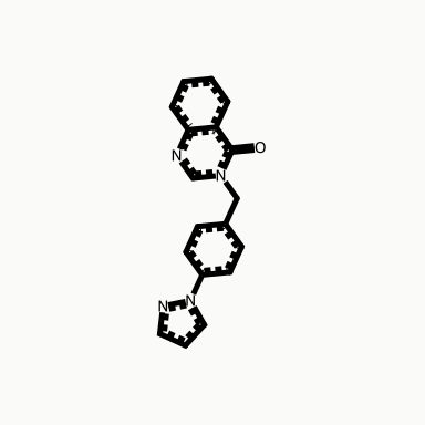 O=c1c2ccccc2ncn1Cc1ccc(-n2cccn2)cc1